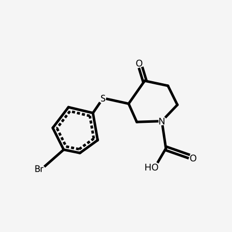 O=C1CCN(C(=O)O)CC1Sc1ccc(Br)cc1